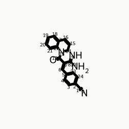 N#Cc1ccc(/C=C(\C(=N)N)C(=O)N2CC=Cc3ccccc32)cc1